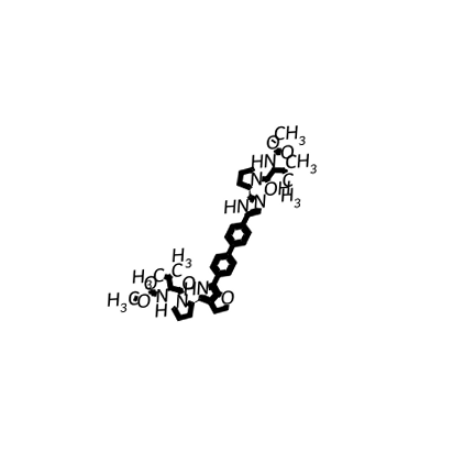 COC(=O)N[C@@H](C(C)C)C(O)N1CCC[C@H]1c1ncc(-c2ccc(-c3ccc(-c4[nH]c([C@@H]5CCCN5C(=O)[C@@H](NC(=O)OC)C(C)C)c5c4OCC5)cc3)cc2)[nH]1